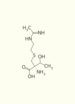 CC(=N)NCCSC[C@](N)(C(=O)O)C(C)O